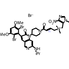 COc1cc(OC)c(Br)c(-c2cc3cnc(NC(C)C)cc3n(C3CCN(C(=O)/C=C/C[N+](C)(C)Cc4c([N+](=O)[O-])ncn4C)CC3)c2=O)c1Br.[Br-]